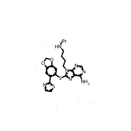 CC(C)NCCCCn1c(Sc2cc3c(cc2-c2nccs2)OCO3)nc2c(N)ncnc21